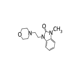 Cn1c(=O)n(CCN2CCOCC2)c2ccccc21